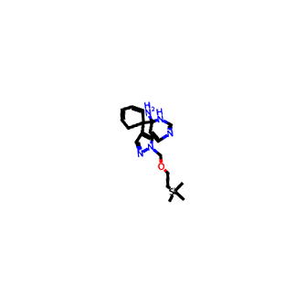 C[Si](C)(C)CCOCn1cc(C2(C3(N)C=CN=CN3)C=CC=CC2)cn1